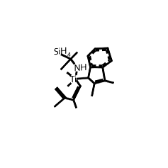 C=C(C)C(C)=[CH][Ti]([CH3])([CH3])([NH]C(C)(C)C)[CH]1C(C)=C(C)c2ccccc21.[SiH4]